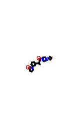 O=C(C1CC1c1cccc(N2CCCC2=O)c1)N1CCN(C2CCC2)CC1